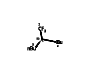 CCCC[C@@H](C(C)CC)C(F)(F)F